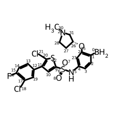 Bc1ccc(NS(=O)(=O)c2cc(-c3ccc(F)c(Cl)c3)c(Cl)s2)cc1O[C@@H]1CCN(C)C1